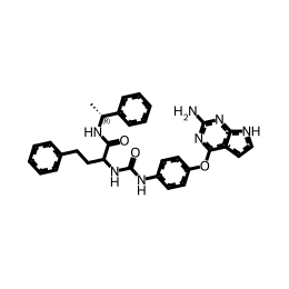 C[C@@H](NC(=O)C(CCc1ccccc1)NC(=O)Nc1ccc(Oc2nc(N)nc3[nH]ccc23)cc1)c1ccccc1